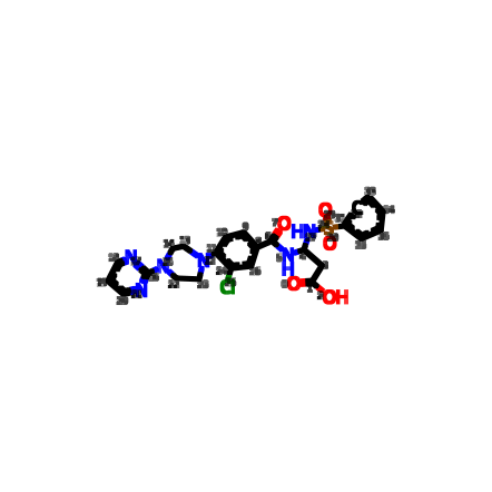 O=C(O)CC(NC(=O)c1ccc(N2CCN(c3ncccn3)CC2)c(Cl)c1)NS(=O)(=O)c1ccccc1